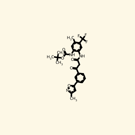 Cc1cc(-c2cccc(C(=O)CC(=O)Nc3cc(C(F)(F)F)c(C)cc3NC(=O)OC(C)(C)C)c2)on1